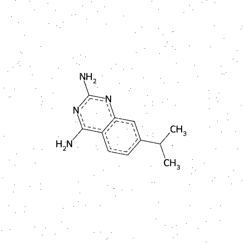 CC(C)c1ccc2c(N)nc(N)nc2c1